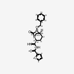 N=C(NC(=O)c1ccco1)[C@@H]1CC[C@@H]2CN1C(=O)N2OCc1ccccc1